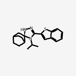 CC(C)N1C(c2cc3ccccc3s2)=NN[C@@]12CC1CCC2CC1